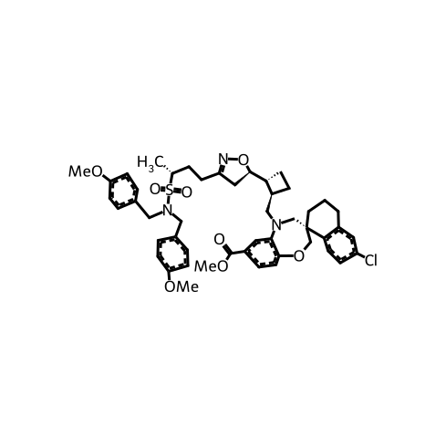 COC(=O)c1ccc2c(c1)N(C[C@@H]1CC[C@H]1[C@H]1CC(CC[C@@H](C)S(=O)(=O)N(Cc3ccc(OC)cc3)Cc3ccc(OC)cc3)=NO1)C[C@@]1(CCCc3cc(Cl)ccc31)CO2